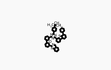 CC(C)(C)c1ccc(-c2nc(-c3cccc4c3oc3c(-c5ncc6ccccc6n5)cccc34)nc(-c3cccc4c3sc3c(-c5ccccc5)cccc34)n2)cc1